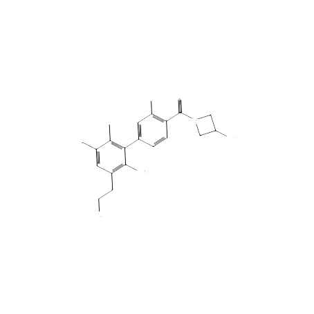 COc1c(CCN)cc(Cl)c(C)c1-c1ccc(C(=O)N2CC(C#N)C2)c(F)c1